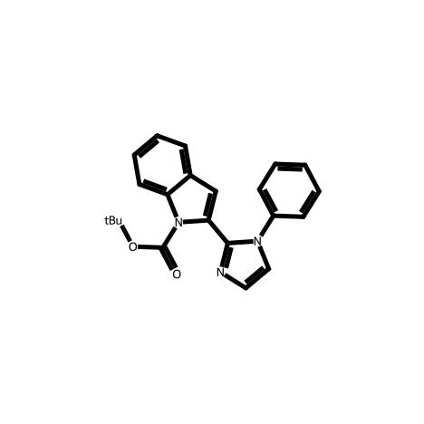 CC(C)(C)OC(=O)n1c(-c2nccn2-c2ccccc2)cc2ccccc21